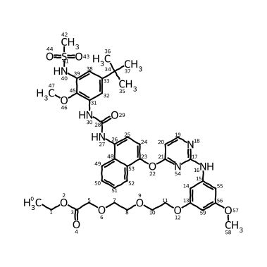 CCOC(=O)COCCOCCOc1cc(Nc2nccc(Oc3ccc(NC(=O)Nc4cc(C(C)(C)C)cc(NS(C)(=O)=O)c4OC)c4ccccc34)n2)cc(OC)c1